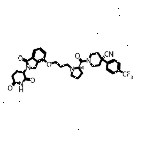 N#CC1(c2ccc(C(F)(F)F)cc2)CCN(C(=O)[C@H]2CCCN2CCCOc2cccc3c2CN(C2CCC(=O)NC2=O)C3=O)CC1